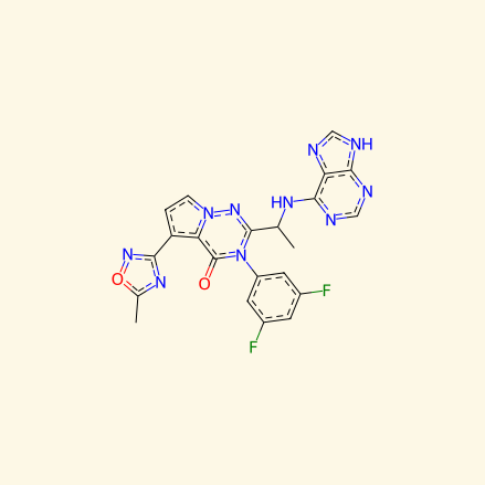 Cc1nc(-c2ccn3nc(C(C)Nc4ncnc5[nH]cnc45)n(-c4cc(F)cc(F)c4)c(=O)c23)no1